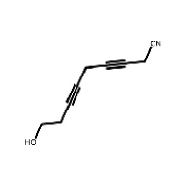 N#CCC#CCC#CCCO